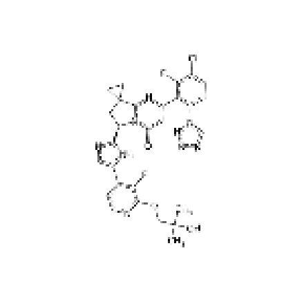 CC(C)(O)COc1nccc(-c2cnc([C@H]3CC4(CC4)c4nc(-c5c(-n6cnnn6)ccc(Cl)c5F)cc(=O)n43)[nH]2)c1F